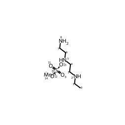 CCNCCNCCN.O=S(=O)([O-])[O-].[Mn+2]